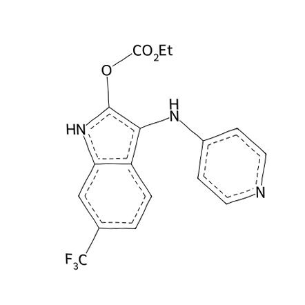 CCOC(=O)Oc1[nH]c2cc(C(F)(F)F)ccc2c1Nc1ccncc1